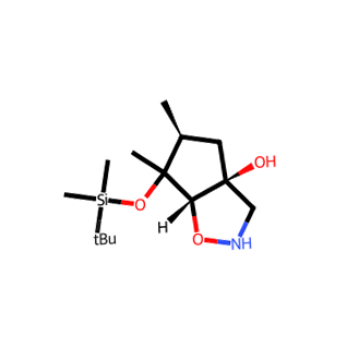 C[C@H]1C[C@]2(O)CNO[C@@H]2C1(C)O[Si](C)(C)C(C)(C)C